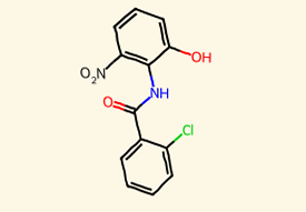 O=C(Nc1c(O)cccc1[N+](=O)[O-])c1ccccc1Cl